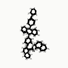 c1ccc(-c2ccc(-c3c4ccccc4c(-c4ccc5c6ccc7ccccc7c6c6nc7c8ccccc8ccc7n6c5c4)c4ccccc34)cc2)cc1